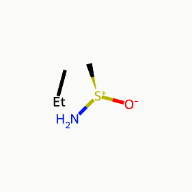 CCC.C[S@+](N)[O-]